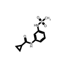 CS(=O)(=O)Nc1cccc(NC(=O)C2CC2)c1